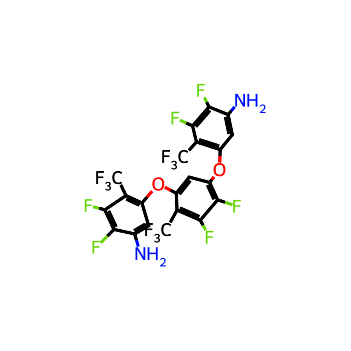 Nc1cc(Oc2cc(Oc3cc(N)c(F)c(F)c3C(F)(F)F)c(C(F)(F)F)c(F)c2F)c(C(F)(F)F)c(F)c1F